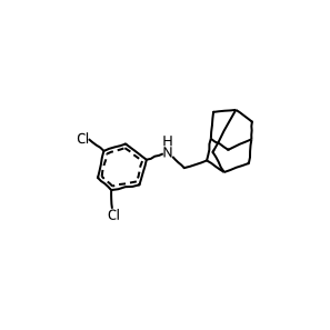 Clc1cc(Cl)cc(NCC2C3CC4CC(C3)CC2C4)c1